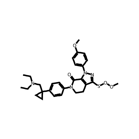 CCN(CC)CC1(c2ccc(N3CCc4c(SOOC)nn(-c5ccc(OC)cc5)c4C3=O)cc2)CC1